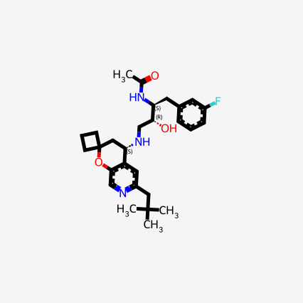 CC(=O)N[C@@H](Cc1cccc(F)c1)[C@H](O)CN[C@H]1CC2(CCC2)Oc2cnc(CC(C)(C)C)cc21